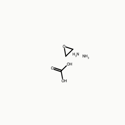 C1CO1.N.N.O=C(O)O